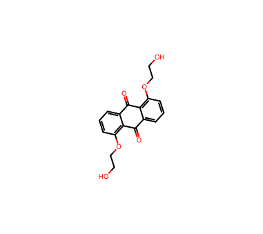 O=C1c2cccc(OCCO)c2C(=O)c2cccc(OCCO)c21